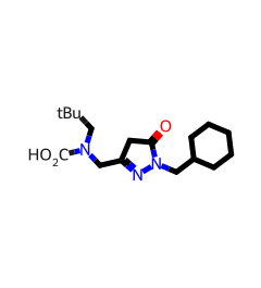 CC(C)(C)CN(CC1=NN(CC2CCCCC2)C(=O)C1)C(=O)O